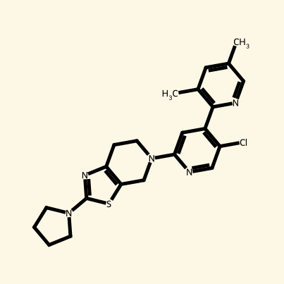 Cc1cnc(-c2cc(N3CCc4nc(N5CCCC5)sc4C3)ncc2Cl)c(C)c1